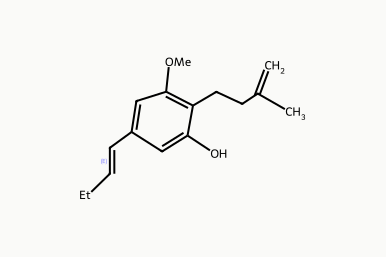 C=C(C)CCc1c(O)cc(/C=C/CC)cc1OC